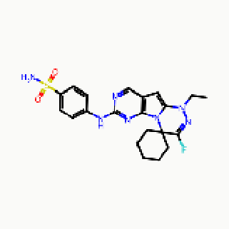 CCN1N=C(F)C2(CCCCC2)n2c1cc1cnc(Nc3ccc(S(N)(=O)=O)cc3)nc12